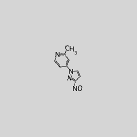 Cc1cc(-n2ccc(N=O)n2)ccn1